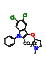 CCOC(=O)c1c(OC2CCN(C)C2)c2cc(Cl)c(Cl)cc2n1-c1ccccc1